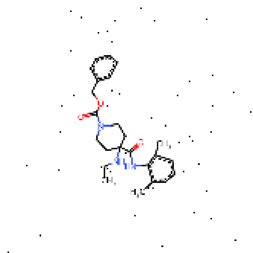 CCNC1(C(=O)Nc2c(C)cccc2C)CCN(C(=O)OCc2ccccc2)CC1